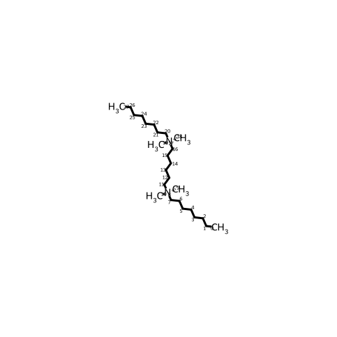 CCCCCCCC[N+](C)(C)CCCCCC[N+](C)(C)CCCCCCCC